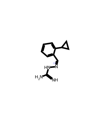 N=C(N)N/N=C\c1ccccc1C1CC1